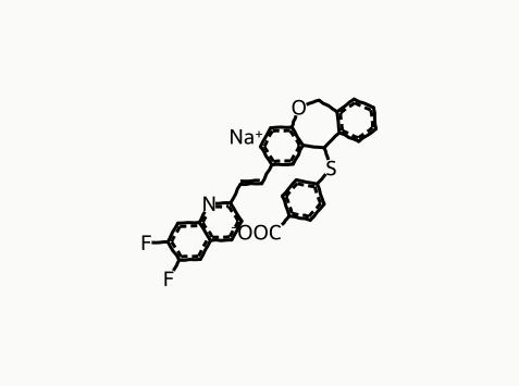 O=C([O-])c1ccc(SC2c3ccccc3COc3ccc(C=Cc4ccc5cc(F)c(F)cc5n4)cc32)cc1.[Na+]